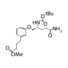 COC(=O)CCCc1cccc(OC[C@H](CCC(N)=O)NC(=O)OC(C)(C)C)c1